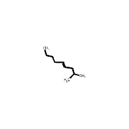 CCCC/C=C/CC(C)C